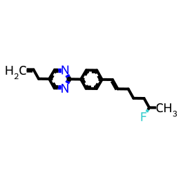 C=CCc1cnc(-c2ccc(C=CCCCC(C)F)cc2)nc1